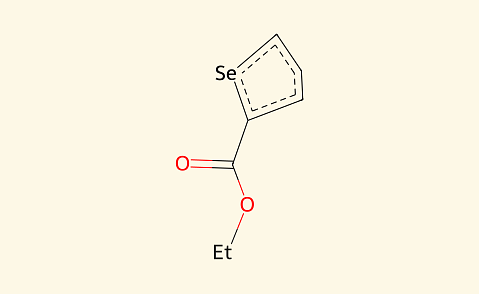 CCOC(=O)c1ccc[se]1